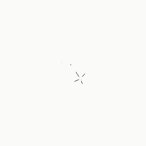 CCCC[N+](C)(C)C.O=C([O-])O